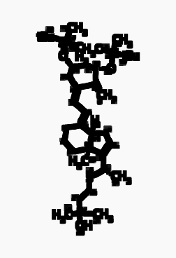 C=C1C(=CC=C2CCC[C@]3(C)C([C@H](C)SCCC(C)(C)O)=CC[C@@H]23)C[C@@H](O[Si](C)(C)C(C)(C)C)C[C@@H]1O[Si](C)(C)C(C)(C)C